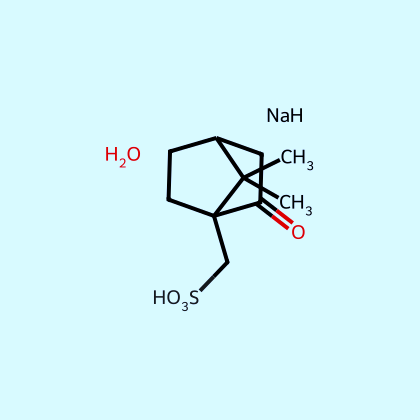 CC1(C)C2CCC1(CS(=O)(=O)O)C(=O)C2.O.[NaH]